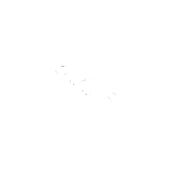 CC[C@H](Cc1ccsc1)OC(=O)N1CCC2C1C(=O)CN2C(=O)c1ccccc1